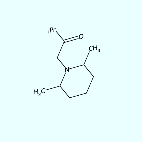 CC(C)C(=O)CN1C(C)CCCC1C